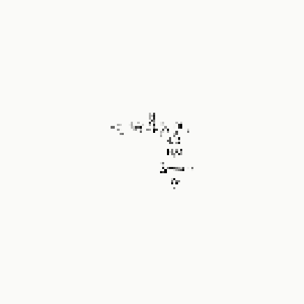 Cl.O.O.O.O.O.O.[Co].[O]=[Zr]